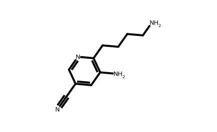 N#Cc1cnc(CCCCN)c(N)c1